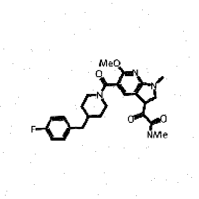 CNC(=O)C(=O)C1CN(C)c2nc(OC)c(C(=O)N3CCC(Cc4ccc(F)cc4)CC3)cc21